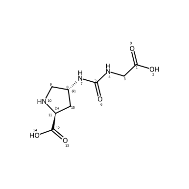 O=C(O)CNC(=O)N[C@H]1CN[C@H](C(=O)O)C1